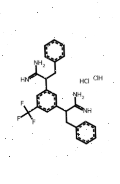 Cl.Cl.N=C(N)C(Cc1ccccc1)c1cc(C(Cc2ccccc2)C(=N)N)cc(C(F)(F)F)c1